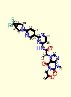 CC(=O)Cn1c(=O)c2c(ncn2[C@@H](C)C(=O)Nc2ccnc(-c3ccc(N4CC5C(C4)C5(F)F)nc3)n2)n(C)c1=O